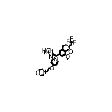 COc1cc(-c2cnc3cc(OCCN4CCOCC4)ccn23)cc2c1C(=O)N(CC(F)(F)F)CC2.Cl.Cl